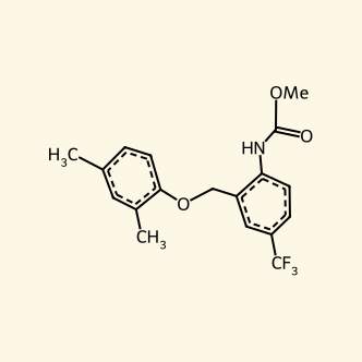 COC(=O)Nc1ccc(C(F)(F)F)cc1COc1ccc(C)cc1C